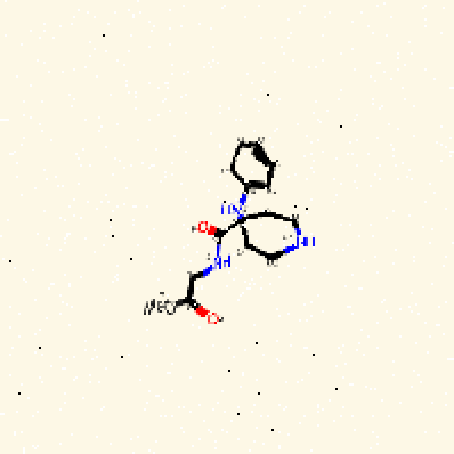 COC(=O)CNC(=O)C1(NC2=CC=CCC2)CCNCC1